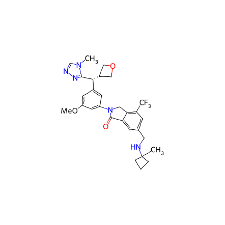 COc1cc([C@H](c2nncn2C)C2COC2)cc(N2Cc3c(cc(CNC4(C)CCC4)cc3C(F)(F)F)C2=O)c1